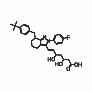 CC(C)(C)c1ccc(CC2CCCc3c2nn(-c2ccc(F)cc2)c3C=CC(O)CC(O)CC(=O)O)cc1